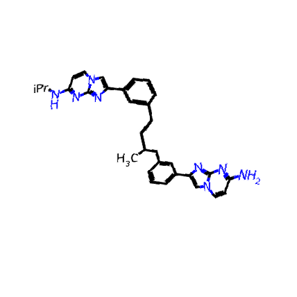 CC(CCc1cccc(-c2cn3ccc(NC(C)C)nc3n2)c1)Cc1cccc(-c2cn3ccc(N)nc3n2)c1